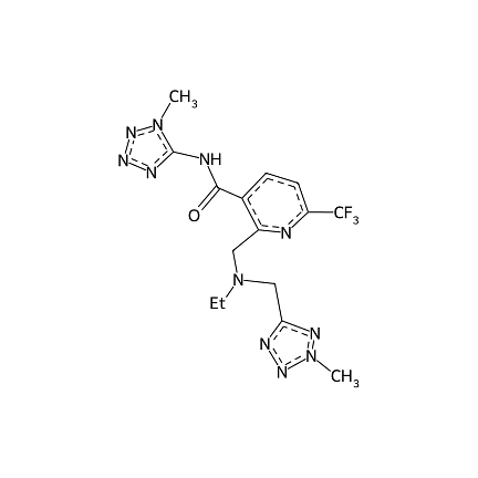 CCN(Cc1nnn(C)n1)Cc1nc(C(F)(F)F)ccc1C(=O)Nc1nnnn1C